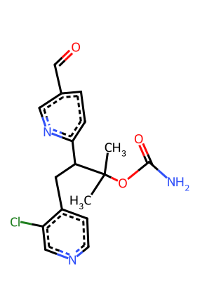 CC(C)(OC(N)=O)C(Cc1ccncc1Cl)c1ccc(C=O)cn1